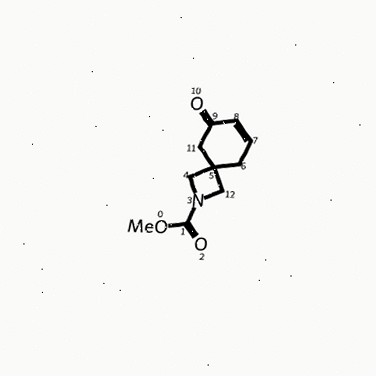 COC(=O)N1CC2(CC=CC(=O)C2)C1